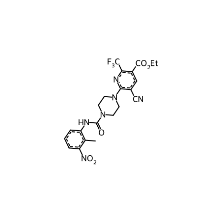 CCOC(=O)c1cc(C#N)c(N2CCN(C(=O)Nc3cccc([N+](=O)[O-])c3C)CC2)nc1C(F)(F)F